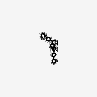 c1ccc(-c2ccc(-c3ncc4c(ccc5c(-c6ccc(-c7ccccn7)cc6)ccnc54)n3)cc2)cc1